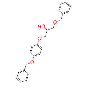 OC(COCc1ccccc1)COc1ccc(OCc2ccccc2)cc1